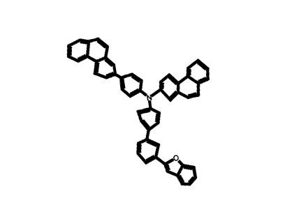 c1cc(-c2ccc(N(c3ccc(-c4ccc5c(ccc6ccccc65)c4)cc3)c3ccc4c(ccc5ccccc54)c3)cc2)cc(-c2cc3ccccc3o2)c1